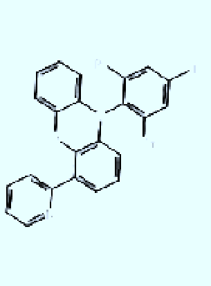 CC(C)c1cc(C(C)C)c(B2c3ccccc3Oc3c2cccc3-c2ccccn2)c(C(C)C)c1